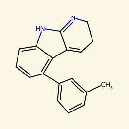 Cc1cccc(-c2cccc3[nH]c4c(c23)=CCCN=4)c1